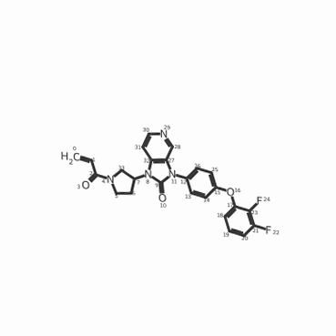 C=CC(=O)N1CCC(n2c(=O)n(-c3ccc(Oc4cccc(F)c4F)cc3)c3cnccc32)C1